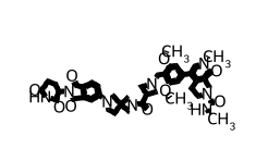 CNC(=O)N1CCc2c(-c3cc(OC)c(CN4CC(C(=O)N5CC6(CCN(c7ccc8c(c7)C(=O)N(C7CCC(=O)NC7=O)C8=O)C6)C5)C4)c(OC)c3)cn(C)c(=O)c2C1